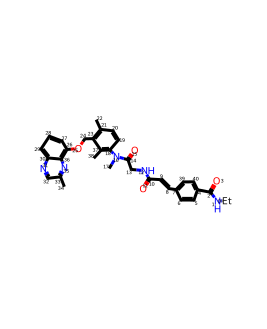 CCNC(=O)c1ccc(C=CC(=O)NCC(=O)N(C)c2ccc(C)c(COc3cccc4ncc(C)nc34)c2C)cc1